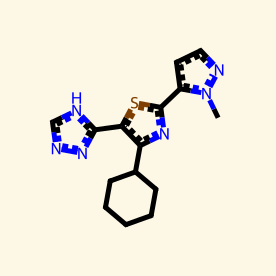 Cn1nccc1-c1nc(C2CCCCC2)c(-c2nnc[nH]2)s1